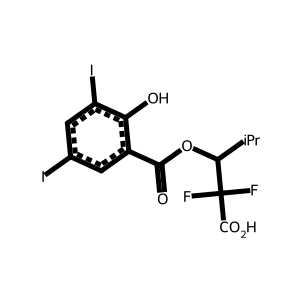 CC(C)C(OC(=O)c1cc(I)cc(I)c1O)C(F)(F)C(=O)O